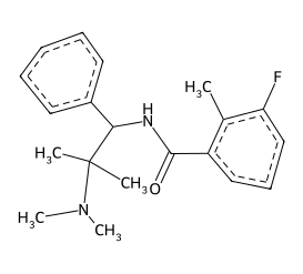 Cc1c(F)cccc1C(=O)NC(c1ccccc1)C(C)(C)N(C)C